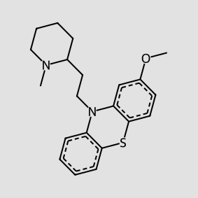 COc1ccc2c(c1)N(CCC1CCCCN1C)c1ccccc1S2